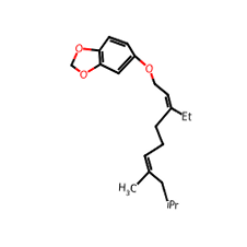 CCC(=CCOc1ccc2c(c1)OCO2)CCC=C(C)CC(C)C